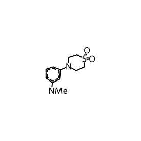 CNc1cccc(N2CCS(=O)(=O)CC2)c1